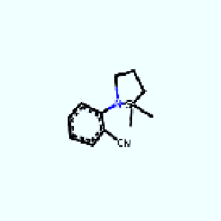 C[Si]1(C)CCCN1c1ccccc1C#N